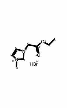 Br.CCOC(=O)CN1C=CN(C)C1